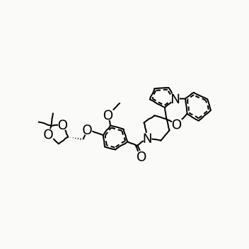 COc1cc(C(=O)N2CCC3(CC2)Oc2ccccc2-n2cccc23)ccc1OC[C@@H]1COC(C)(C)O1